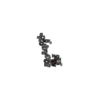 CN(c1cccc([C@H]2CCN(CC(=O)N3CCC(Oc4cccc(N5[C@@H]6CC[C@H]5CN(c5cc(-c7ccccc7O)nnc5N)C6)c4)CC3)CC2(F)F)c1)[C@@H]1CCC(=O)NC1=O